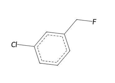 FCc1cccc(Cl)c1